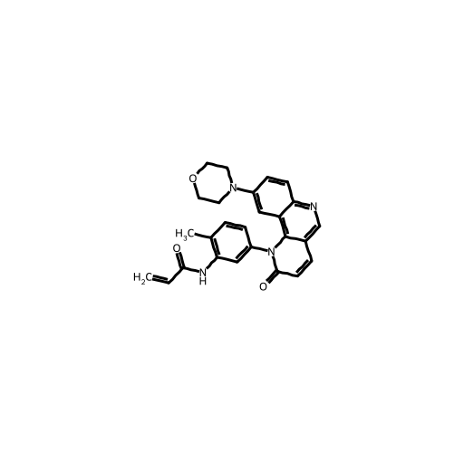 C=CC(=O)Nc1cc(-n2c(=O)ccc3cnc4ccc(N5CCOCC5)cc4c32)ccc1C